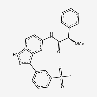 CO[C@@H](C(=O)Nc1ccc2[nH]nc(-c3cccc(S(C)(=O)=O)c3)c2c1)c1ccccc1